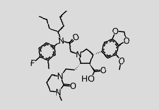 CCCC(CCC)N(C(=O)CN1C[C@H](c2cc(OC)c3c(c2)OCO3)[C@@H](C(=O)O)[C@@H]1CCN1CCCN(C)C1=O)c1ccc(F)c(C)c1